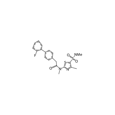 CNS(=O)(=O)c1sc(N(C)C(=O)Cc2ccc(-c3ccccc3F)cc2)nc1C